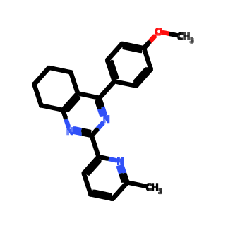 COc1ccc(-c2nc(-c3cccc(C)n3)nc3c2CCCC3)cc1